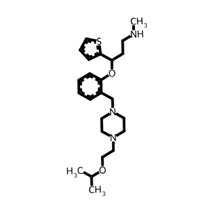 CNCCC(Oc1ccccc1CN1CCN(CCOC(C)C)CC1)c1cccs1